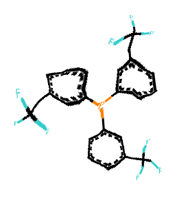 FC(F)(F)c1cccc(P(c2cccc(C(F)(F)F)c2)c2cccc(C(F)(F)F)c2)c1